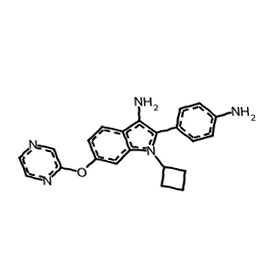 Nc1ccc(-c2c(N)c3ccc(Oc4cnccn4)cc3n2C2CCC2)cc1